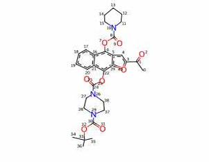 CC(=O)c1cc2c(OC(=O)N3CCCCC3)c3ccccc3c(OC(=O)N3CCN(C(=O)OC(C)(C)C)CC3)c2o1